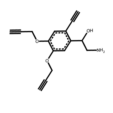 C#CCOc1cc(C#C)c(C(O)CN)cc1OCC#C